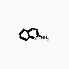 Nc1ccc2[c]cccc2n1